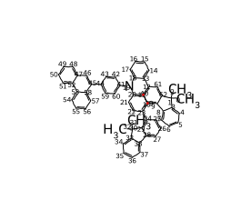 CC1(C)c2ccccc2-c2ccc(-c3ccccc3N(c3ccc(-c4cccc5c4C(C)(C)c4ccccc4-5)cc3)c3ccc(-c4cc5ccccc5c5ccccc45)cc3)cc21